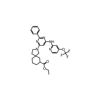 CCOC(=O)C1CCCC2(CCN(c3cc(Nc4cc(OC(F)(F)F)ccn4)nc(-c4ccccc4)n3)C2)C1